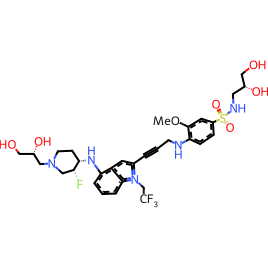 COc1cc(S(=O)(=O)NC[C@@H](O)CO)ccc1NCC#Cc1cc2c(N[C@H]3CCN(C[C@@H](O)CO)C[C@H]3F)cccc2n1CC(F)(F)F